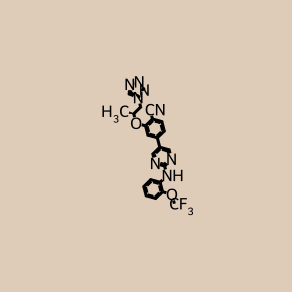 C[C@@H](Cn1cnnn1)Oc1cc(-c2cnc(Nc3ccccc3OC(F)(F)F)nc2)ccc1C#N